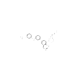 C=CC(=O)N1CCCC(c2cc(-c3cccc(Nc4cccc(C#N)c4)c3)cc3cncnc23)C1